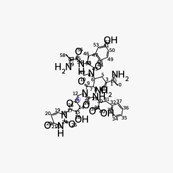 C[C@H](N)C(=O)CC(C(N)C(=O)N(/C=C1\CC(O)C(n2ccc(=O)[nH]c2=O)O1)C(=O)NC(Cc1ccccc1)C(=O)O)N(C)C(=O)[C@H](Cc1cccc(O)c1)NC(=O)[C@H](C)N